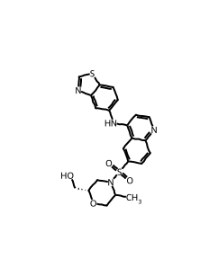 CC1CO[C@H](CO)CN1S(=O)(=O)c1ccc2nccc(Nc3ccc4scnc4c3)c2c1